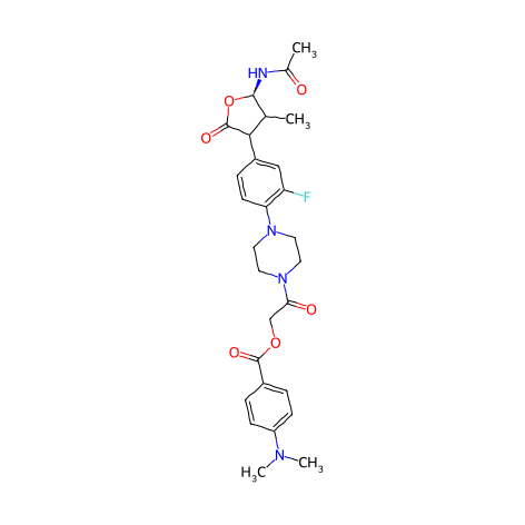 CC(=O)N[C@@H]1OC(=O)C(c2ccc(N3CCN(C(=O)COC(=O)c4ccc(N(C)C)cc4)CC3)c(F)c2)C1C